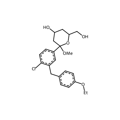 CCOc1ccc(Cc2cc(C3(OC)CC(O)CC(CO)O3)ccc2Cl)cc1